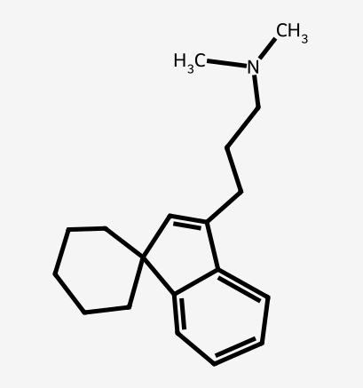 CN(C)CCCC1=CC2(CCCCC2)c2ccccc21